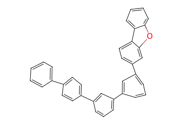 c1ccc(-c2ccc(-c3cccc(-c4cccc(-c5ccc6c(c5)oc5ccccc56)c4)c3)cc2)cc1